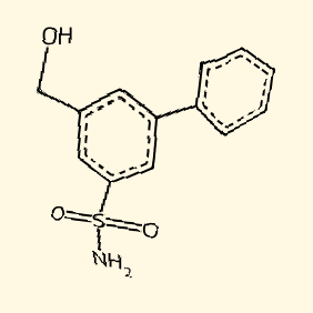 NS(=O)(=O)c1cc(CO)cc(-c2ccccc2)c1